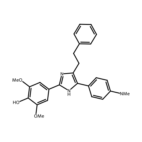 CNc1ccc(-c2[nH]c(-c3cc(OC)c(O)c(OC)c3)nc2CCc2ccccc2)cc1